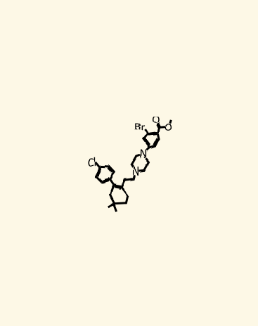 COC(=O)c1ccc(N2CCN(CCC3=C(c4ccc(Cl)cc4)CC(C)(C)CC3)CC2)cc1Br